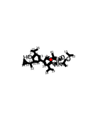 COCP(=O)(NC(C)C(=O)OC(C)C)Oc1c(C(C)C)cc(-c2cc(C(C)C)c(O)c(C(C)C3CC3)c2)cc1C(C)C